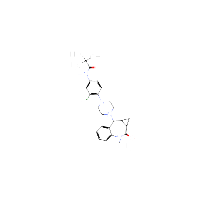 CN1C(=O)C2CC2C(N2CCN(c3ccc(NC(=O)C(C)(C)C)cc3Cl)CC2)c2ccccc21